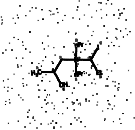 CCC[N+](CCC)(CC(C)O)C(I)CC